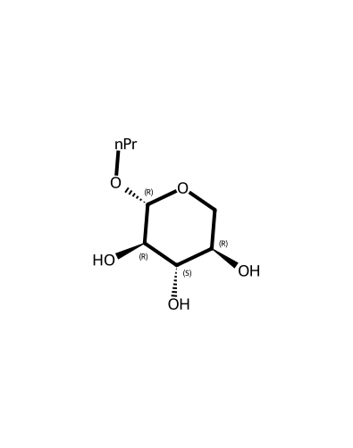 CCCO[C@@H]1OC[C@@H](O)[C@H](O)[C@H]1O